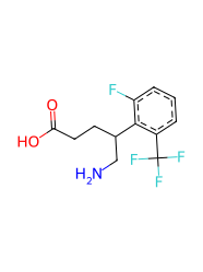 NCC(CCC(=O)O)c1c(F)cccc1C(F)(F)F